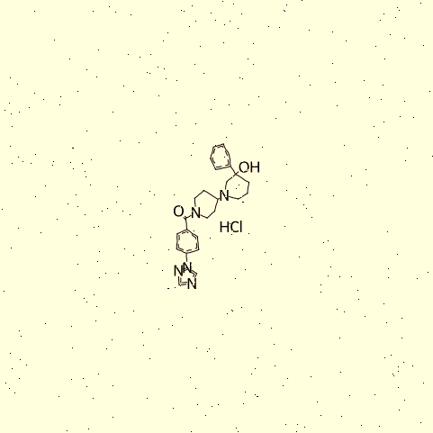 Cl.O=C(c1ccc(-n2cncn2)cc1)N1CCC(N2CCCC(O)(c3ccccc3)C2)CC1